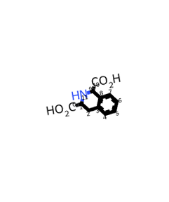 O=C(O)C1Cc2ccccc2C(C(=O)O)N1